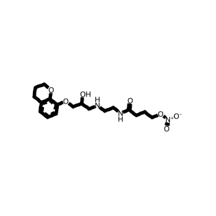 O=C(CCCO[N+](=O)[O-])NCCNCC(O)COc1cccc2c1OCCC2